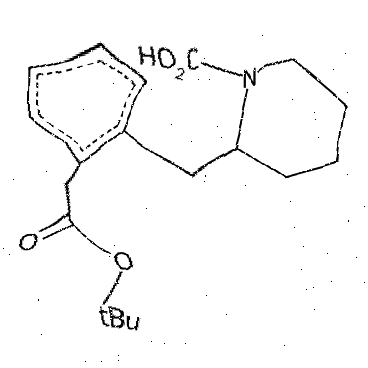 CC(C)(C)OC(=O)c1ccccc1CC1CCCCN1C(=O)O